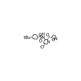 CC(C)(C)c1ccc(S(=O)(=O)Nc2cc(Cl)cnc2C(=O)c2ccno2)cc1